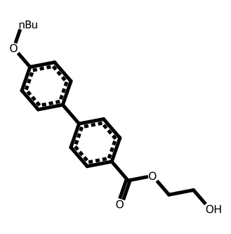 CCCCOc1ccc(-c2ccc(C(=O)OCCO)cc2)cc1